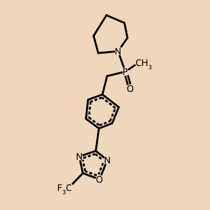 CP(=O)(Cc1ccc(-c2noc(C(F)(F)F)n2)cc1)N1CCCCC1